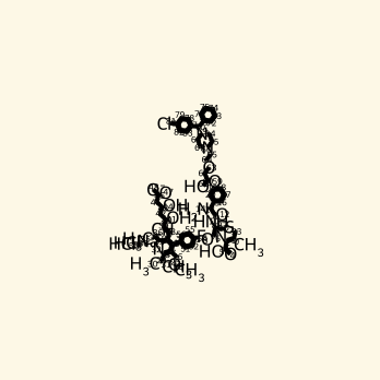 CC1=C(C(=O)O)N2C(=O)[C@@H](NC(=O)[C@H](N)c3ccccc3)[C@H]2SC1.COCc1c(C(C)C)nc(C(C)C)c(/C=C/[C@@H](O)C[C@@H](O)CC(=O)[O-])c1-c1ccc(F)cc1.Cl.Cl.O=C(O)COCCN1CCN(C(c2ccccc2)c2ccc(Cl)cc2)CC1.[Na+]